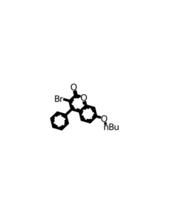 CCCCOc1ccc2c(-c3ccccc3)c(Br)c(=O)oc2c1